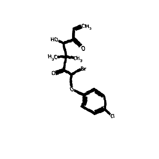 C=CC(=O)C(O)C(C)(C)C(=O)C(Br)Oc1ccc(Cl)cc1